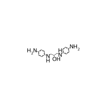 Nc1ccc(NCC(O)CNc2ccc(N)cc2)cc1